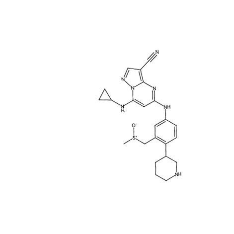 C[S+]([O-])Cc1cc(Nc2cc(NC3CC3)n3ncc(C#N)c3n2)ccc1C1CCCNC1